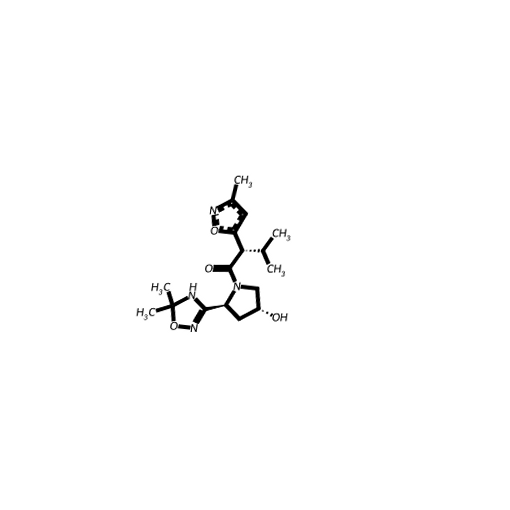 Cc1cc([C@@H](C(=O)N2C[C@H](O)C[C@H]2C2=NOC(C)(C)N2)C(C)C)on1